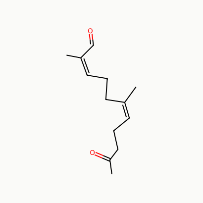 CC(=O)CCC=C(C)CCC=C(C)C=O